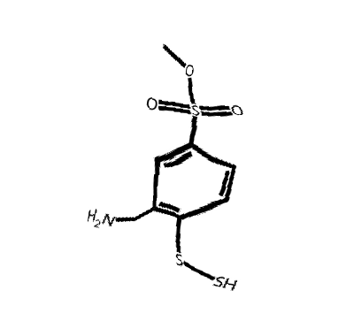 COS(=O)(=O)c1ccc(SS)c(N)c1